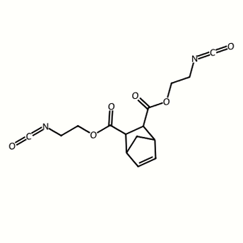 O=C=NCCOC(=O)C1C2C=CC(C2)C1C(=O)OCCN=C=O